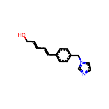 OCC=CC=Cc1ccc(Cn2ccnc2)cc1